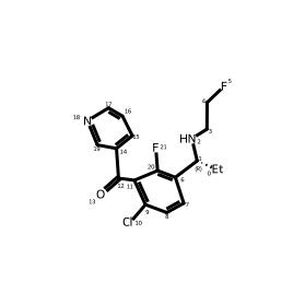 CC[C@@H](NCCF)c1ccc(Cl)c(C(=O)c2cccnc2)c1F